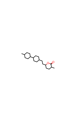 CC1CCC(C2CCC(CCC3CCC(C)C(=O)O3)CC2)CC1